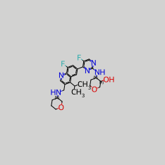 CC(C)c1c(CN[C@@H]2CCCOC2)cnc2c(F)cc(-c3nc(N[C@@H]4CCOC[C@@H]4O)ncc3F)cc12